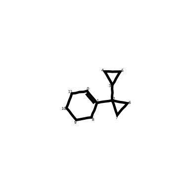 C1=C(C2(C3CC3)CC2)CCCC1